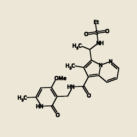 CCS(=O)(=O)NC(C)c1c(C)c(C(=O)NCc2c(OC)cc(C)[nH]c2=O)c2cccnn12